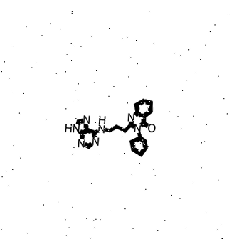 O=c1c2ccccc2nc(CCCNc2ncnc3[nH]cnc23)n1-c1ccccc1